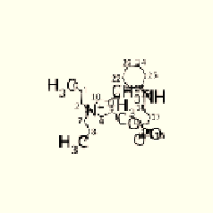 CCC[N+](CCC)(CCC)CCC.O=S(=O)([O-])CCNC1CCCCC1